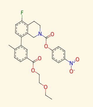 CCOCCOC(=O)c1ccc(C)c(-c2ccc(F)c3c2CN(C(=O)Oc2ccc([N+](=O)[O-])cc2)CC3)c1